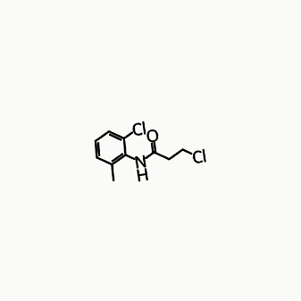 Cc1cccc(Cl)c1NC(=O)CCCl